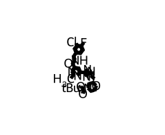 Cc1nc(C(=O)NCc2ccc(F)c(Cl)c2)cc(-c2nnn(C[C@@H]3CN(C(=O)OC(C)(C)C)CCO3)n2)n1